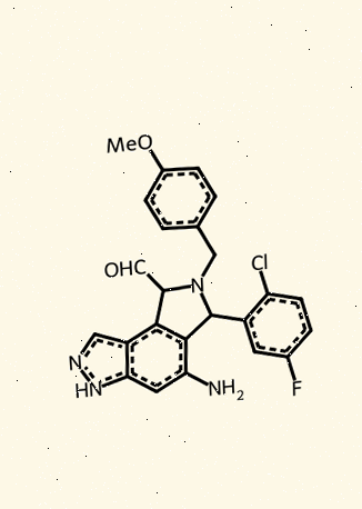 COc1ccc(CN2C(C=O)c3c(c(N)cc4[nH]ncc34)C2c2cc(F)ccc2Cl)cc1